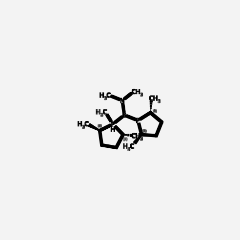 C[C@@H]1CC[C@@H](C)P1B(N(C)C)[PH]1(C)[C@H](C)CC[C@H]1C